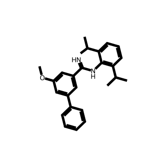 COc1cc(C(=N)Nc2c(C(C)C)cccc2C(C)C)cc(-c2ccccc2)c1